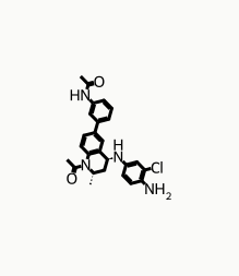 CC(=O)Nc1cccc(-c2ccc3c(c2)[C@H](Nc2ccc(N)c(Cl)c2)C[C@H](C)N3C(C)=O)c1